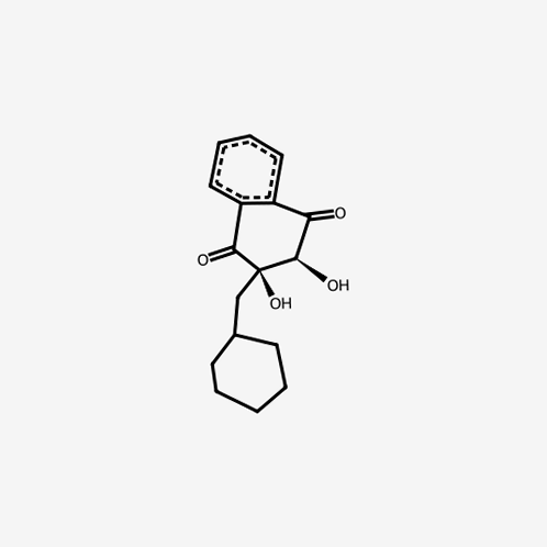 O=C1c2ccccc2C(=O)[C@@](O)(CC2CCCCC2)[C@@H]1O